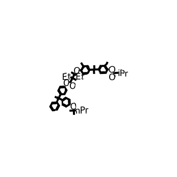 CCCC(C)(C)Oc1ccc(C(C)(c2ccccc2)c2ccc(OC(=O)C(C)(CC)C(C)(CC)Oc3ccc(C(C)(C)c4ccc(OC(=O)C(C)C)c(C)c4)cc3C)cc2)cc1